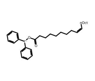 CCCCCCCC/C=C\CCCCCCCC(=O)O[I+](c1ccccc1)c1ccccc1